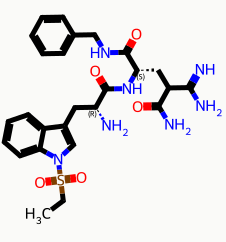 CCS(=O)(=O)n1cc(C[C@@H](N)C(=O)N[C@@H](CC(C(=N)N)C(N)=O)C(=O)NCc2ccccc2)c2ccccc21